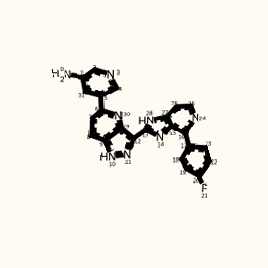 Nc1cncc(-c2ccc3[nH]nc(-c4nc5c(-c6ccc(F)cc6)nccc5[nH]4)c3n2)c1